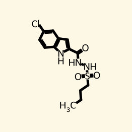 CCCCS(=O)(=O)NNC(=O)c1cc2cc(Cl)ccc2[nH]1